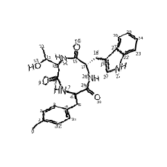 Cc1ccc(CC2NC(=O)C(C(C)O)NC(=O)[C@H](Cc3c[nH]c4ccccc34)NC2=O)cc1